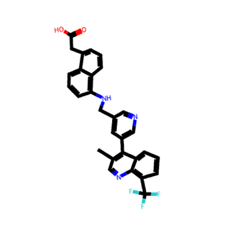 Cc1cnc2c(C(F)(F)F)cccc2c1-c1cncc(CNc2cccc3c(CC(=O)O)cccc23)c1